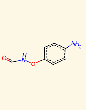 Nc1ccc(ON[C]=O)cc1